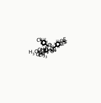 CC(C)(C)[Si](C)(C)O[C@@H]1C[C@@H](c2nc(-c3ccc(OC(F)(F)F)cc3)no2)N(C(=O)c2ccc(Cl)cc2)C1